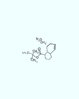 CC(C)(C)OC(=O)C1CCCC2C=CCCC21.O.[CH2]